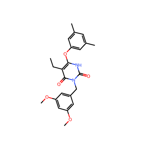 CCc1c(Oc2cc(C)cc(C)c2)[nH]c(=O)n(Cc2cc(OC)cc(OC)c2)c1=O